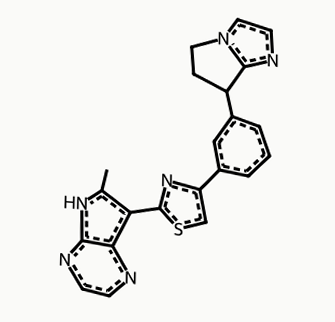 Cc1[nH]c2nccnc2c1-c1nc(-c2cccc(C3CCn4ccnc43)c2)cs1